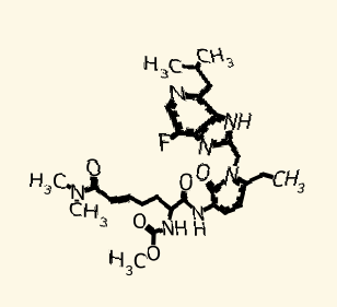 CCc1ccc(NC(=O)C(CC/C=C/C(=O)N(C)C)NC(=O)OC)c(=O)n1Cc1nc2c(F)cnc(CC(C)C)c2[nH]1